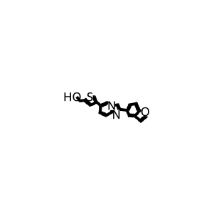 OCc1cc(-c2ccc3nc(-c4ccc5occc5c4)cn3c2)cs1